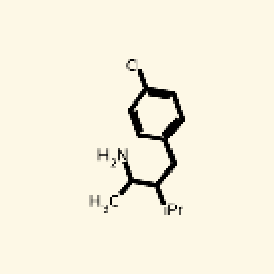 CC(C)C(Cc1ccc(Cl)cc1)C(C)N